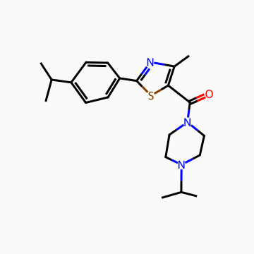 Cc1nc(-c2ccc(C(C)C)cc2)sc1C(=O)N1CCN(C(C)C)CC1